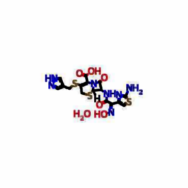 Nc1nc(/C(=N/O)C(=O)N[C@@H]2C(=O)N3C(C(=O)O)=C(SCc4cn[nH]c4)CS[C@@H]23)cs1.O